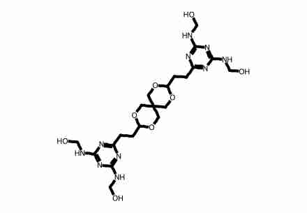 OCNc1nc(CCC2OCC3(CO2)COC(CCc2nc(NCO)nc(NCO)n2)OC3)nc(NCO)n1